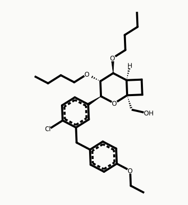 CCCCO[C@@H]1[C@@H](OCCCC)[C@H](c2ccc(Cl)c(Cc3ccc(OCC)cc3)c2)O[C@]2(CO)CC[C@H]12